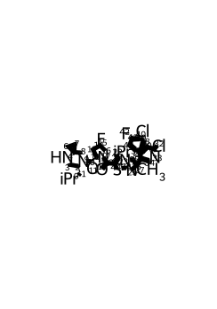 CC(C)C[C@@H]1CNC2(CC2)CN1C(=O)[C@H]1C[C@@H](F)CN1C(=O)C1=C(C(C)C)N2C(=N[C@@](C)(c3ccc(Cl)nc3)[C@H]2c2ccc(Cl)c(F)c2)S1